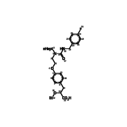 CCCCCCCN(CCOc1ccc(CC(OCC)C(=O)O)cc1)C(=O)NCc1ccc(F)cc1